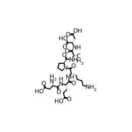 C[C@H](NC(=O)[C@@H]1CCCN1C(=O)[C@H](CCCCN)NC(=O)[C@H](CCC(=O)O)NC(=O)[C@@H](N)CC(=O)O)C(=O)N[C@@H](CC(=O)O)C(=O)O